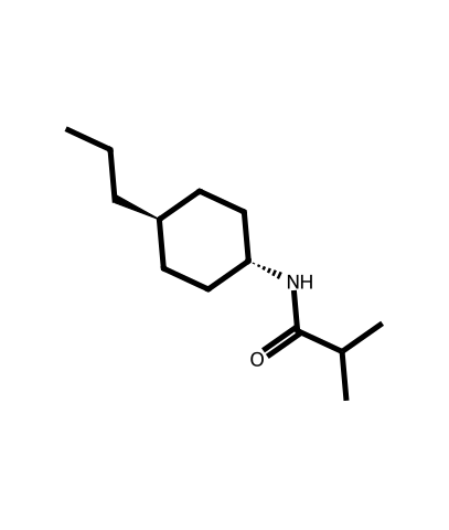 CCC[C@H]1CC[C@H](NC(=O)C(C)C)CC1